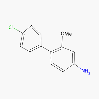 COc1cc(N)ccc1-c1ccc(Cl)cc1